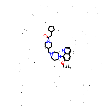 COc1ccc2cccnc2c1N1CCCN(CC2CCN(C(=O)CC3CCCC3)CC2)CC1